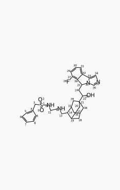 O=S(=O)(Cc1ccccc1)NCNCC1C2CC3CC1CC(C(O)CC1c4c(F)cccc4-c4cncn41)(C3)C2